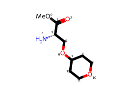 COC(=O)[C@@H](N)COC1CCOCC1